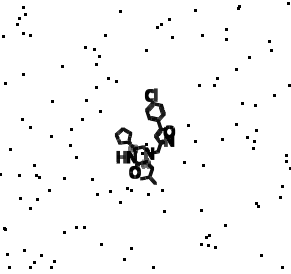 CC(C)C[C@H]1C(=O)N[C@@H](C2CCCC2)CN1Cc1cc(-c2ccc(Cl)cc2)on1